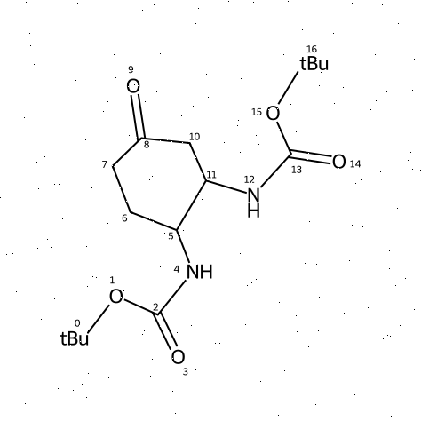 CC(C)(C)OC(=O)NC1CCC(=O)CC1NC(=O)OC(C)(C)C